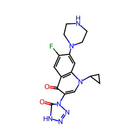 O=c1c(-n2nn[nH]c2=O)cn(C2CC2)c2cc(N3CCNCC3)c(F)cc12